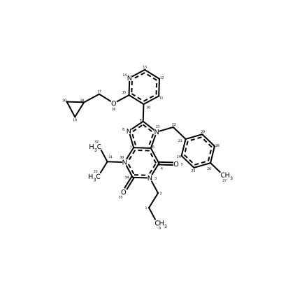 CCCn1c(=O)c2c(nc(-c3cccnc3OCC3CC3)n2Cc2ccc(C)cc2)n(C(C)C)c1=O